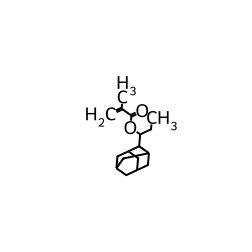 C=C(C)C(=O)OC(CC)C1C2CC3CC(C2)CC1C3